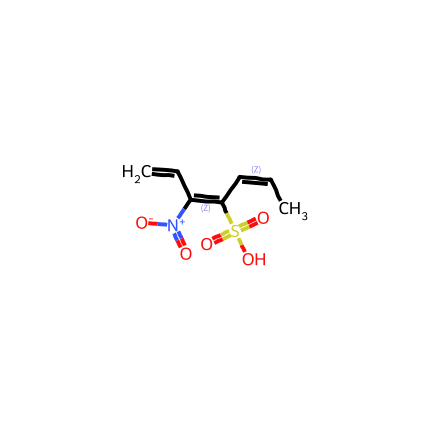 C=C/C(=C(\C=C/C)S(=O)(=O)O)[N+](=O)[O-]